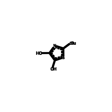 CC(C)(C)c1nc(O)c(O)s1